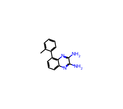 Cc1ccccc1-c1cccc2nc(N)c(N)nc12